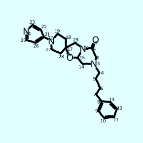 O=C1CN(CCCCc2ccccc2)CC2OC3(CCN(c4ccncc4)CC3)CN12